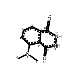 CN(C)c1cccc2c(=O)[nH][nH]c(=O)c12